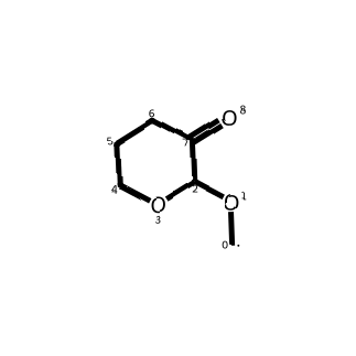 [CH2]OC1OCCCC1=O